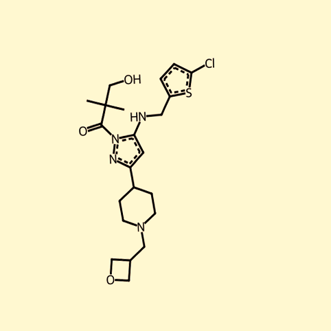 CC(C)(CO)C(=O)n1nc(C2CCN(CC3COC3)CC2)cc1NCc1ccc(Cl)s1